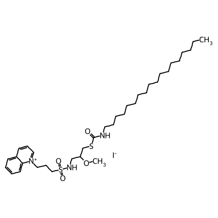 CCCCCCCCCCCCCCCCCCNC(=O)SCC(CNS(=O)(=O)CCC[n+]1cccc2ccccc21)OC.[I-]